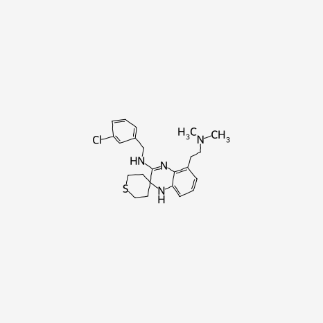 CN(C)CCc1cccc2c1N=C(NCc1cccc(Cl)c1)C1(CCSCC1)N2